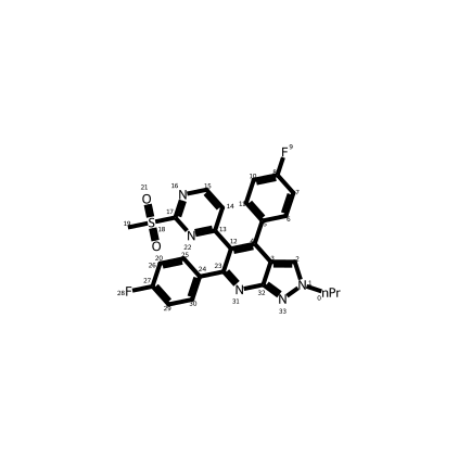 CCCn1cc2c(-c3ccc(F)cc3)c(-c3ccnc(S(C)(=O)=O)n3)c(-c3ccc(F)cc3)nc2n1